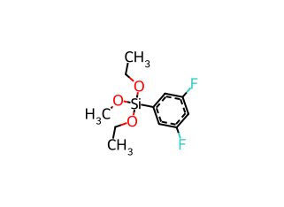 CCO[Si](OC)(OCC)c1cc(F)cc(F)c1